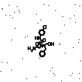 Nc1c[n+](C(CO)Cc2ccccc2)[n+](C(=O)Nc2ccc(Cl)cc2)o1